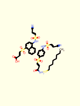 CCCCCCCCS.N#CC=CS(=O)(=O)Nc1ccc(S(=O)(=O)C=CC(=O)O)c2ccccc12.N#CC=CS(=O)(=O)Nc1ccc(S(=O)(=O)C=CC(N)=O)cc1